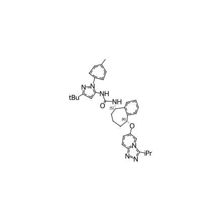 Cc1ccc(-n2nc(C(C)(C)C)cc2NC(=O)N[C@H]2CCC[C@@H](Oc3ccc4nnc(C(C)C)n4c3)c3ccccc32)cc1